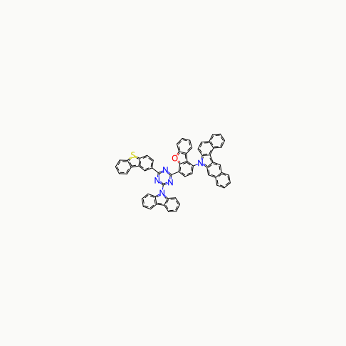 c1ccc2cc3c(cc2c1)c1c2ccccc2ccc1n3-c1ccc(-c2nc(-c3ccc4sc5ccccc5c4c3)nc(-n3c4ccccc4c4ccccc43)n2)c2oc3ccccc3c12